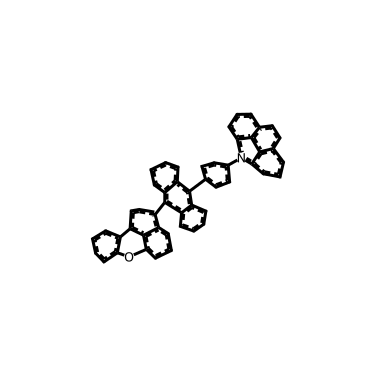 c1ccc2c(c1)Oc1cccc3c(-c4c5ccccc5c(-c5ccc(-n6c7cccc8ccc9cccc6c9c87)cc5)c5ccccc45)ccc-2c13